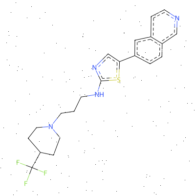 FC(F)(F)C1CCN(CCCNc2ncc(-c3ccc4cnccc4c3)s2)CC1